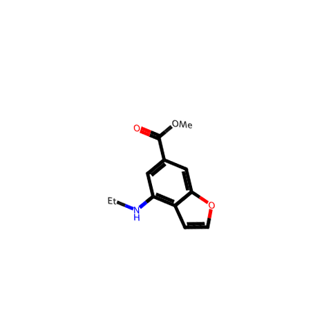 CCNc1cc(C(=O)OC)cc2occc12